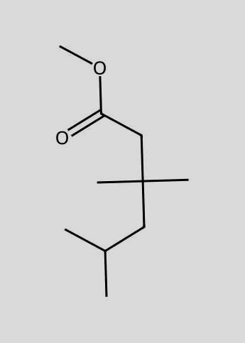 COC(=O)CC(C)(C)CC(C)C